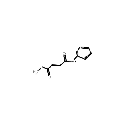 COC(=O)CCC(=O)Nc1ccccc1